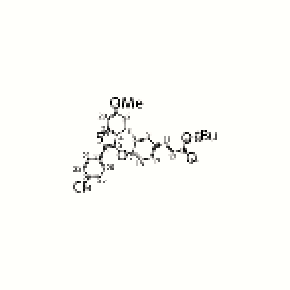 COc1ccc2c(Oc3ccc(C=CC(=O)OC(C)(C)C)cc3)c(-c3ccc(Cl)cc3)sc2c1